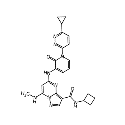 CNc1cc(Nc2cccn(-c3ccc(C4CC4)nn3)c2=O)nc2c(C(=O)NC3CCC3)cnn12